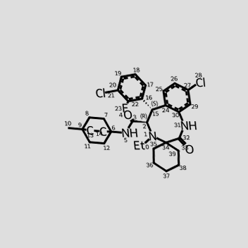 CCN1[C@@H](C(=O)NC23CCC(C)(CC2)CC3)[C@H](c2cccc(Cl)c2F)c2ccc(Cl)cc2NC(=O)C12CCCCC2